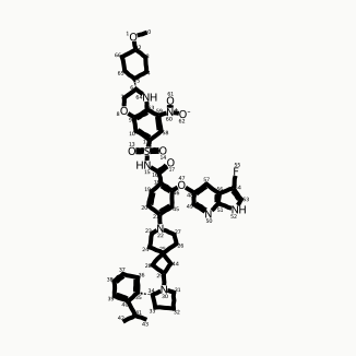 COC1CCC([C@H]2COc3cc(S(=O)(=O)NC(=O)c4ccc(N5CCC6(CC5)CC(N5CCC[C@@H]5c5ccccc5C(C)C)C6)cc4Oc4cnc5[nH]cc(F)c5c4)cc([N+](=O)[O-])c3N2)CC1